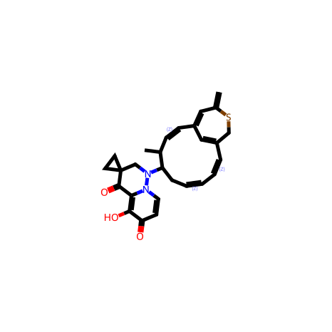 C=C1C=C2C=C(/C=C\C=C/CC(N3CC4(CC4)C(=O)c4c(O)c(=O)ccn43)C(C)/C=C\2)CS1